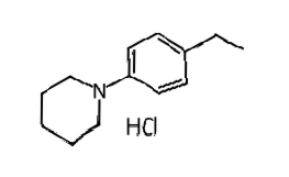 CCc1ccc(N2CCCCC2)cc1.Cl